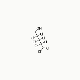 OCC(Cl)(Cl)C(Cl)(Cl)C(Cl)(Cl)C(Cl)Cl